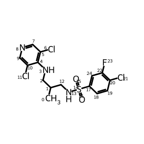 CC(CNc1c(Cl)cncc1Cl)CNS(=O)(=O)c1ccc(Cl)c(F)c1